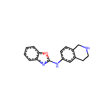 c1ccc2oc(Nc3ccc4c(c3)CCNC4)nc2c1